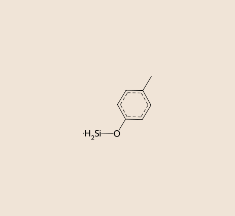 Cc1ccc(O[SiH2])cc1